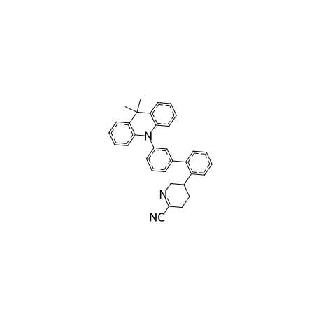 CC1(C)c2ccccc2N(c2cccc(-c3ccccc3C3CCC(C#N)=NC3)c2)c2ccccc21